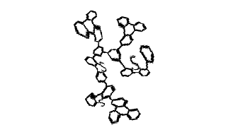 C1=CC2c3cccc(-c4ccccc4)c3SC2C(c2cc(-c3cc(-c4ccc5c6ccccc6c6ccccc6c5c4)cc(-c4cccc5c4sc4cc(-c6ccc(-c7ccc8c9ccccc9c9ccccc9c8c7)c7sc8ccccc8c67)ccc45)c3)cc(-c3ccc4c5ccccc5c5ccccc5c4c3)c2)=C1